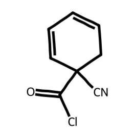 N#CC1(C(=O)Cl)C=CC=CC1